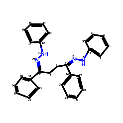 c1ccc(NN=C(CCC(=NNc2ccccc2)c2ccccc2)c2ccccc2)cc1